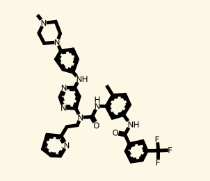 Cc1ccc(NC(=O)c2cccc(C(F)(F)F)c2)cc1NC(=O)N(CCc1ccccn1)c1cc(Nc2ccc(N3CCN(C)CC3)cc2)ncn1